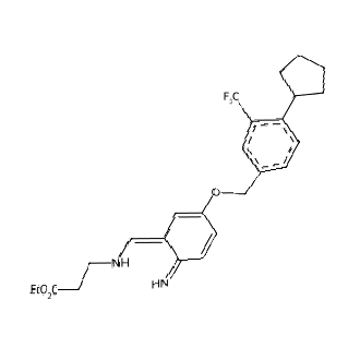 CCOC(=O)CCN/C=C1/C=C(OCc2ccc(C3CCCC3)c(C(F)(F)F)c2)C=CC1=N